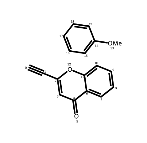 C#Cc1cc(=O)c2ccccc2o1.COc1ccccc1